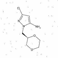 Nc1cc(Cl)nn1C[C@@H]1COCCO1